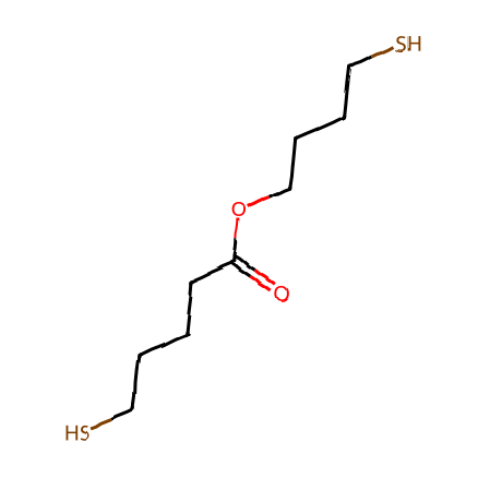 O=C(CCCCS)OCCCCS